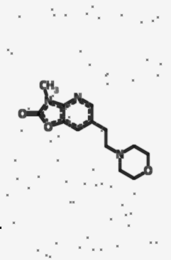 Cn1c(=O)oc2cc(CCN3CCOCC3)cnc21